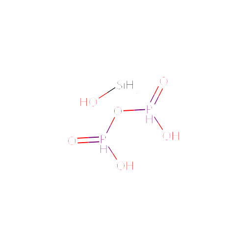 O=[PH](O)O[PH](=O)O.O[SiH3]